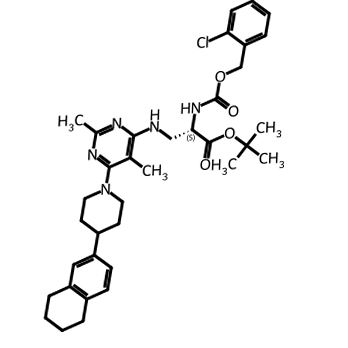 Cc1nc(NC[C@H](NC(=O)OCc2ccccc2Cl)C(=O)OC(C)(C)C)c(C)c(N2CCC(c3ccc4c(c3)CCCC4)CC2)n1